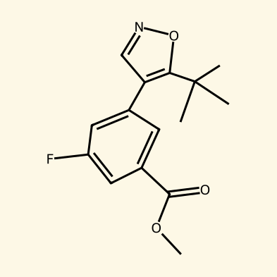 COC(=O)c1cc(F)cc(-c2cnoc2C(C)(C)C)c1